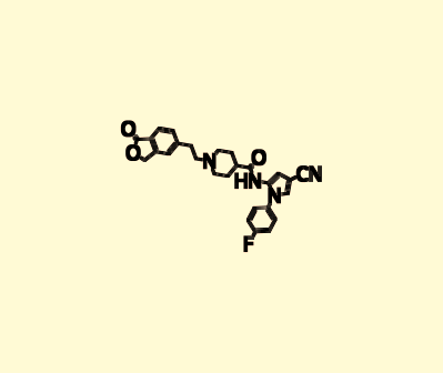 N#Cc1cc(NC(=O)C2CCN(CCc3ccc4c(c3)COC4=O)CC2)n(-c2ccc(F)cc2)c1